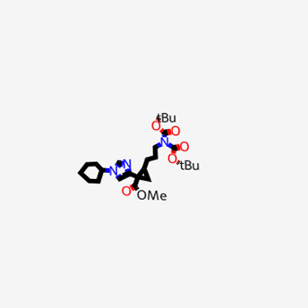 COC(=O)C1(c2cn(C3CCCCC3)cn2)CC1CCCN(C(=O)OC(C)(C)C)C(=O)OC(C)(C)C